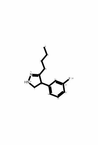 CCCCC1=NNCC1c1cccc(F)c1